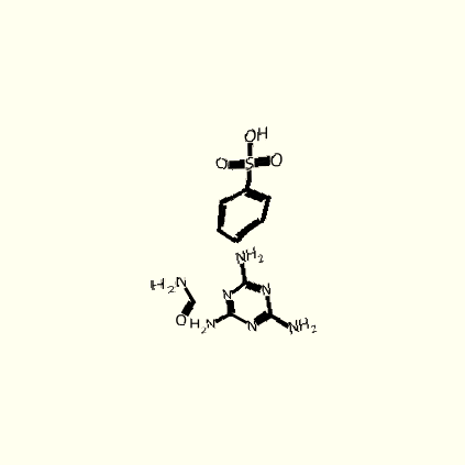 NC=O.Nc1nc(N)nc(N)n1.O=S(=O)(O)c1ccccc1